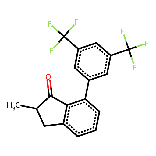 CC1Cc2cccc(-c3cc(C(F)(F)F)cc(C(F)(F)F)c3)c2C1=O